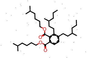 CCCC(C)CCc1ccc(C(=O)OCCCCC(C)C)c(C(=O)OCCCCC(C)C)c1CCC(C)CCC